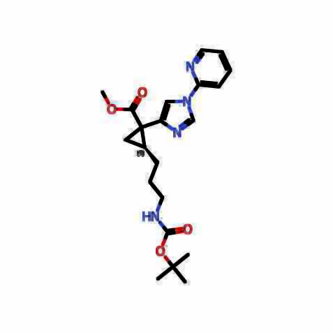 COC(=O)C1(c2cn(-c3ccccn3)cn2)C[C@@H]1CCCNC(=O)OC(C)(C)C